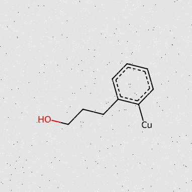 OCCCc1cccc[c]1[Cu]